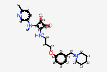 Cc1ccc(N(C)c2c(NCCCOc3cccc(CN4CCCCC4)c3)c(=O)c2=O)cn1